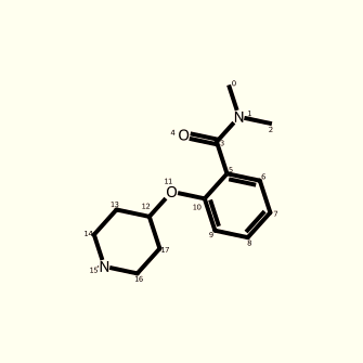 CN(C)C(=O)c1ccccc1OC1CC[N]CC1